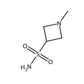 CN1CC(S(N)(=O)=O)C1